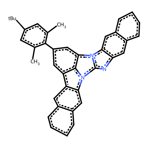 Cc1cc(C(C)(C)C)cc(C)c1-c1cc2c3cc4ccccc4cc3n3c2c(c1)n1c2cc4ccccc4cc2nc13